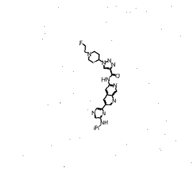 CC(C)Nc1cncc(-c2cnc3cnc(NC(=O)c4cn(C5CCN(CCF)CC5)nn4)cc3c2)n1